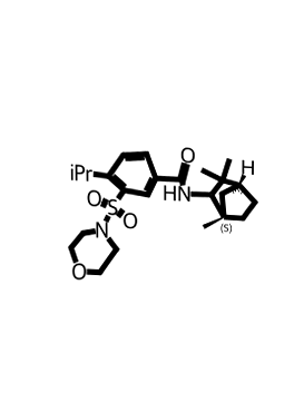 CC(C)c1ccc(C(=O)NC2C(C)(C)[C@@H]3CC[C@@]2(C)C3)cc1S(=O)(=O)N1CCOCC1